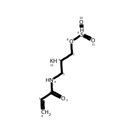 C=CC(=O)NCCCO[SH](=O)=O.[KH]